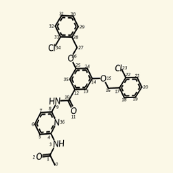 CC(=O)Nc1cccc(NC(=O)c2cc(OCc3ccccc3Cl)cc(OCc3ccccc3Cl)c2)n1